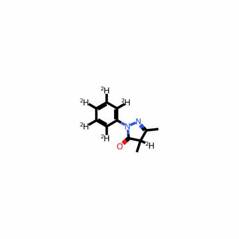 [2H]c1c([2H])c([2H])c(N2N=C(C)C([2H])(C)C2=O)c([2H])c1[2H]